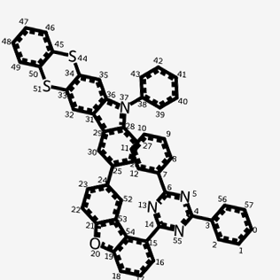 c1ccc(-c2nc(-c3ccccc3)nc(-c3cccc4oc5ccc(-c6ccc7c(c6)c6cc8c(cc6n7-c6ccccc6)Sc6ccccc6S8)cc5c34)n2)cc1